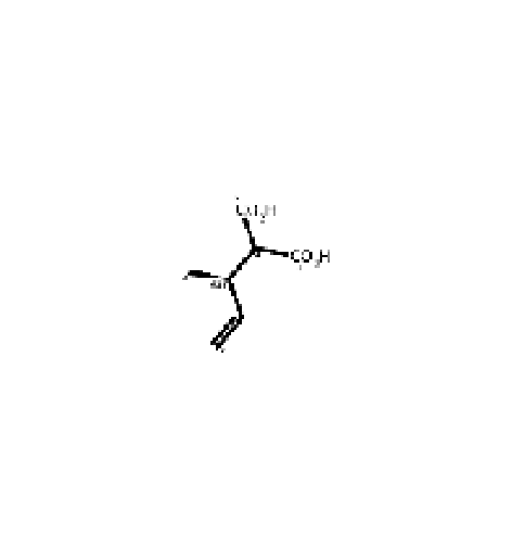 C=C[C@@H](C)C(C(=O)O)C(=O)O